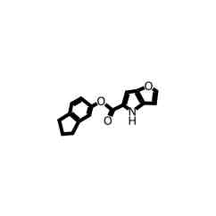 O=C(Oc1ccc2c(c1)CCC2)c1cc2occc2[nH]1